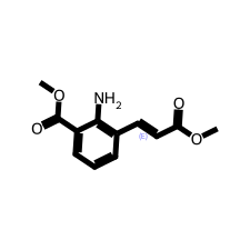 COC(=O)/C=C/c1cccc(C(=O)OC)c1N